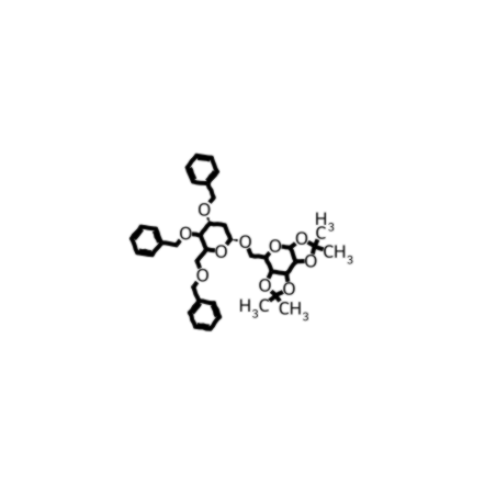 CC1(C)OC2OC(CO[C@H]3C[C@@H](OCc4ccccc4)C(OCc4ccccc4)C(COCc4ccccc4)O3)C3OC(C)(C)OC3C2O1